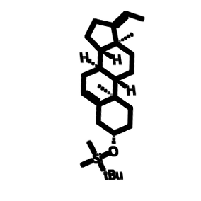 C/C=C1/CC[C@H]2[C@@H]3CC=C4C[C@@H](O[Si](C)(C)C(C)(C)C)CC[C@]4(C)[C@H]3CC[C@]12C